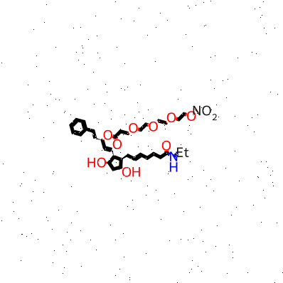 CCNC(=O)CCCC=CC[C@@H]1[C@@H](C=C[C@H](CCc2ccccc2)OC(=O)CCOCCOCCOCCO[N+](=O)[O-])[C@H](O)C[C@@H]1O